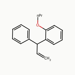 C=CC(c1ccccc1)c1ccccc1OCCC